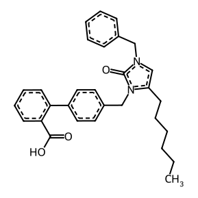 CCCCCCc1cn(Cc2ccccc2)c(=O)n1Cc1ccc(-c2ccccc2C(=O)O)cc1